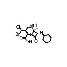 Cl.O=C(O)C1=C(C(Cl)Br)CS[C@H]2[C@H](N=C3CCCCC3)C(=O)N12